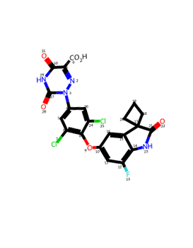 O=C(O)c1nn(-c2cc(Cl)c(Oc3cc(F)c4c(c3)C3(CCC3)C(=O)N4)c(Cl)c2)c(=O)[nH]c1=O